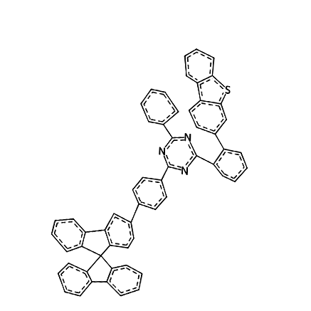 c1ccc(-c2nc(-c3ccc(-c4ccc5c(c4)-c4ccccc4C54c5ccccc5-c5ccccc54)cc3)nc(-c3ccccc3-c3ccc4c(c3)sc3ccccc34)n2)cc1